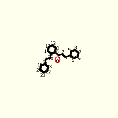 O=C(C=Cc1ccccc1)c1ccccc1C=Cc1ccccc1